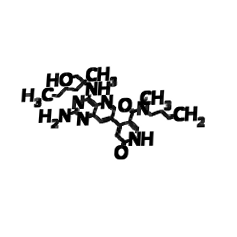 C=CCCN(C)C(=O)c1c[nH]c(=O)cc1-c1cnc2c(NC(C)(CO)CCCC)nc(N)nc2c1